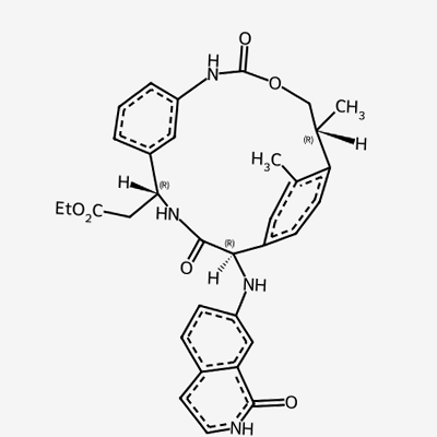 CCOC(=O)C[C@H]1NC(=O)[C@H](Nc2ccc3cc[nH]c(=O)c3c2)c2ccc(c(C)c2)[C@@H](C)COC(=O)Nc2cccc1c2